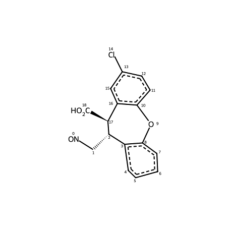 O=NC[C@H]1c2ccccc2Oc2ccc(Cl)cc2[C@@H]1C(=O)O